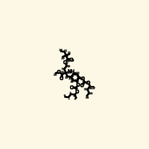 CCCC(C)OC(=O)Oc1cc(C[C@](N)(CCOC(=O)C(C)(C)CC)C(=O)OC)ccc1OC(=O)O[C@@H](C)CCC